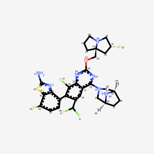 Nc1nc2c(-c3c(C(F)F)cc4c(N5C[C@H]6CC[C@@H](C5)N6)nc(OC[C@@]56CCCN5C[C@H](F)C6)nc4c3F)ccc(F)c2s1